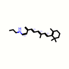 C=C(/C=C\NCCC)/C=C/C=C(C)/C=C/C1=C(C)CCCC1(C)C